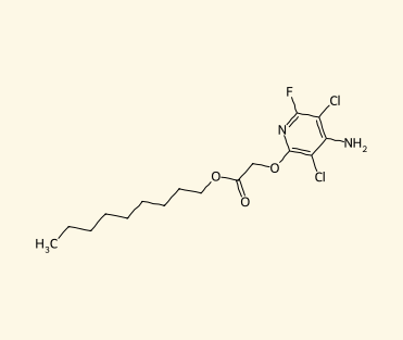 CCCCCCCCCOC(=O)COc1nc(F)c(Cl)c(N)c1Cl